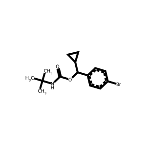 CC(C)(C)NC(=O)OC(c1ccc(Br)cc1)C1CC1